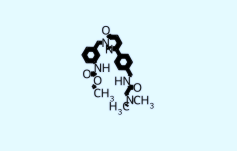 CCOC(=O)Nc1cccc(Cn2nc(-c3ccc(CNC(=O)CN(C)C)cc3)ccc2=O)c1